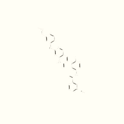 Cc1ccc(NC(=O)c2cccc(C(F)(F)F)c2)cc1-c1cc2cnc(Nc3cccc(CN(C)C)c3)cc2n(C)c1=O